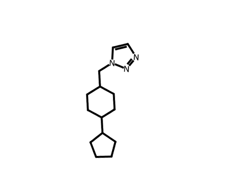 c1cn(CC2CCC(C3CCCC3)CC2)nn1